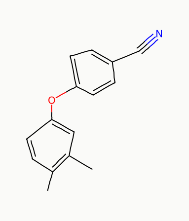 Cc1ccc(Oc2ccc(C#N)cc2)cc1C